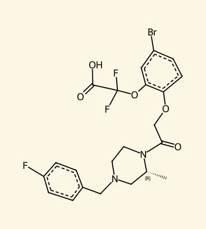 C[C@@H]1CN(Cc2ccc(F)cc2)CCN1C(=O)COc1ccc(Br)cc1OC(F)(F)C(=O)O